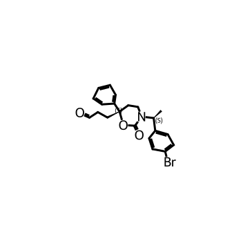 C[C@@H](c1ccc(Br)cc1)N1CC[C@@](CCC=O)(c2ccccc2)OC1=O